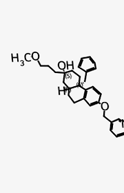 COCCC[C@@]1(O)CC[C@@]2(Cc3ccccc3)c3ccc(OCc4cccnc4)cc3CC[C@@H]2C1